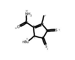 CCCCC1C(=S)C(=S)C(C)=C1C(N)=O